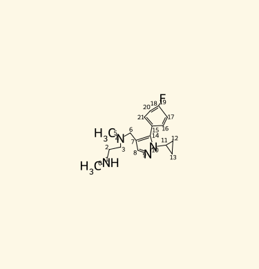 CNCCN(C)Cc1cnn(C2CC2)c1-c1ccc(F)cc1